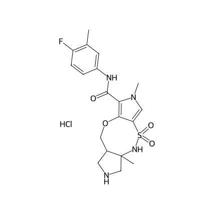 Cc1cc(NC(=O)c2c3c(cn2C)S(=O)(=O)NC2(C)CNCC2CO3)ccc1F.Cl